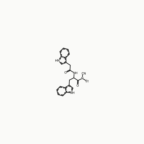 CCN(C#N)C(=O)C(Cc1c[nH]c2ccccc12)NC(=O)Cc1c[nH]c2ccccc12